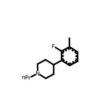 CCCN1CCC(c2cccc(C)c2F)CC1